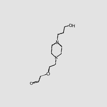 O=CCOCCN1CCN(CCCO)CC1